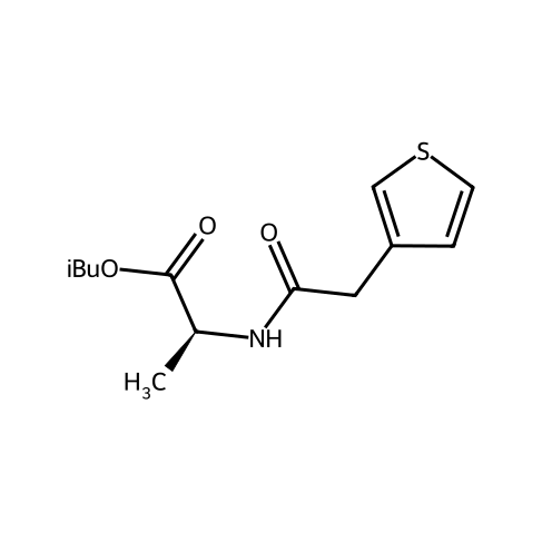 CC(C)COC(=O)[C@H](C)NC(=O)Cc1ccsc1